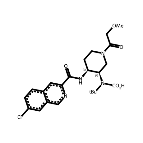 COCC(=O)N1CC[C@H](NC(=O)c2cc3ccc(Cl)cc3cn2)[C@H](N(C(=O)O)C(C)(C)C)C1